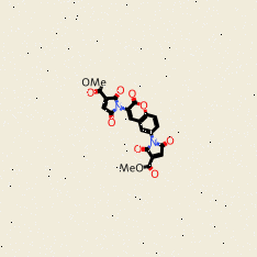 COC(=O)C1=CC(=O)N(c2ccc3oc(=O)c(N4C(=O)C=C(C(=O)OC)C4=O)cc3c2)C1=O